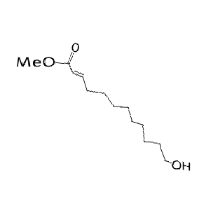 COC(=O)C=CCCCCCCCCCO